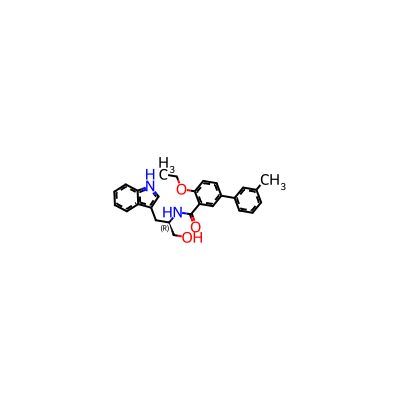 CCOc1ccc(-c2cccc(C)c2)cc1C(=O)N[C@@H](CO)Cc1c[nH]c2ccccc12